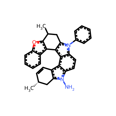 CC1Cc2c(c3c4c5c(n(N)c4ccc3n2-c2ccccc2)C[C@H](C)C=C5)-c2c1oc1ccccc21